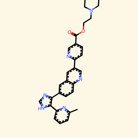 Cc1cccc(-c2[nH]cnc2-c2ccc3ncc(-c4ccc(C(=O)OCCN5CCCCC5)cn4)cc3c2)n1